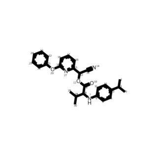 CC(C)c1ccc(NC(C(=O)OC(C#N)c2cccc(Oc3ccccc3)n2)C(C)C)cc1